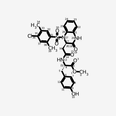 COC(=O)[C@H](Cc1ccc(O)cc1)NC(=O)C[C@@H]1C(=O)Nc2ccccc2N1S(=O)(=O)c1cc(C)c(Cl)cc1C